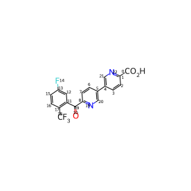 O=C(O)c1ccc(-c2ccc(C(=O)c3cc(F)ccc3C(F)(F)F)nc2)cn1